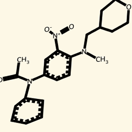 CC(=O)N(c1ccccc1)c1ccc(N(C)CC2CCOCC2)c([N+](=O)[O-])c1